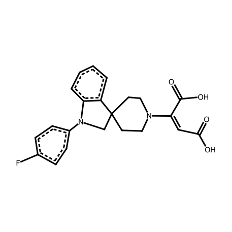 O=C(O)/C=C(\C(=O)O)N1CCC2(CC1)CN(c1ccc(F)cc1)c1ccccc12